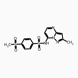 Cc1cc2nccc(NS(=O)(=O)c3ccc(S(C)(=O)=O)cc3)n2n1